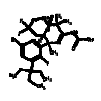 CC[Si](CC)(CC)c1cc(Br)nc([C@@]2(C)N=C(NC(=O)O)C(C)(C)[SH]3(=O)NCC(F)(F)C[C@@H]23)c1F